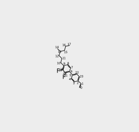 C=Cc1ccc(-c2ccc(CCCC(C)CCC)c(F)c2F)cc1